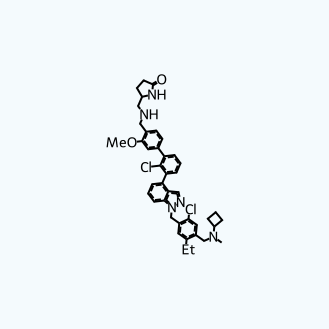 CCc1cc(Cn2ncc3c(-c4cccc(-c5ccc(CNCC6CCC(=O)N6)c(OC)c5)c4Cl)cccc32)c(Cl)cc1CN(C)C1CCC1